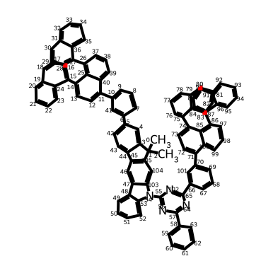 CC1(C)c2cc(-c3cccc(-c4ccc(-c5cccc6ccccc56)c5c(-c6cccc7ccccc67)cccc45)c3)ccc2-c2cc3c4ccccc4n(-c4nc(-c5ccccc5)nc(-c5cccc(-c6ccc(-c7cccc8ccccc78)c7c(-c8cccc9ccccc89)cccc67)c5)n4)c3cc21